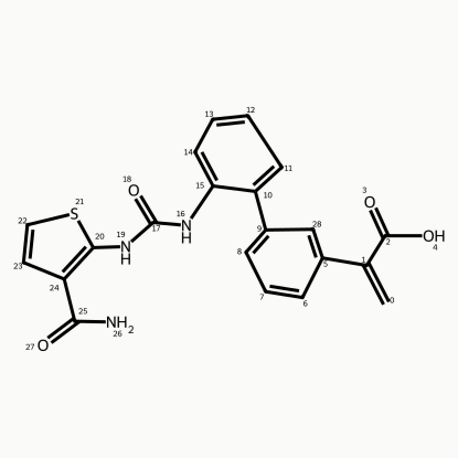 C=C(C(=O)O)c1cccc(-c2ccccc2NC(=O)Nc2sccc2C(N)=O)c1